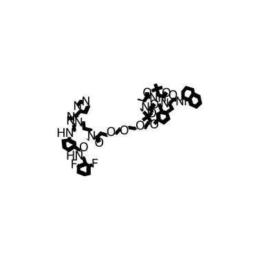 C[C@@H](C(=O)N[C@H](C(=O)N1Cc2cc(OCCOCCOCCOCCC(=O)N(C)CCCn3c(CNc4cccc(C(=O)NCc5c(F)cccc5F)c4)nnc3-c3ccncn3)ccc2CC1C(=O)N[C@@H]1CCCc2ccccc21)C(C)(C)C)N(C)C(=O)OC(C)(C)C